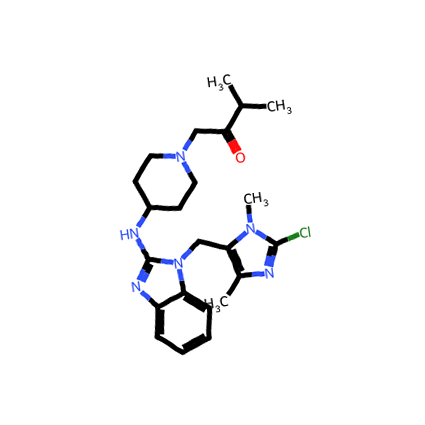 Cc1nc(Cl)n(C)c1Cn1c(NC2CCN(CC(=O)C(C)C)CC2)nc2ccccc21